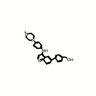 CN1CCN(c2ccc(Nc3ccnc4ccc(-c5ccc(CO)cc5)cc34)cc2)CC1